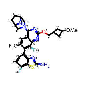 COC1CC(COc2nc(N3CC4CCC(C3)N4)c3cc(C(F)(F)F)c(-c4ccc(F)c5sc(N)nc45)c(F)c3n2)C1